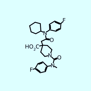 CN(C(=O)N1CCC(CC(=O)N(c2ccc(F)cc2)C2CCCCC2)(C(=O)O)CC1)c1ccc(F)cc1